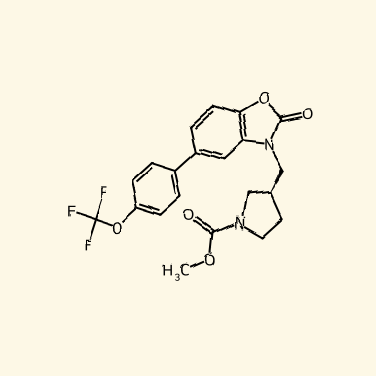 COC(=O)N1CC[C@H](Cn2c(=O)oc3ccc(-c4ccc(OC(F)(F)F)cc4)cc32)C1